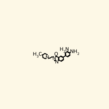 CC1CCN(CCn2cnc3ccc(-c4ccc(N)c(N)c4)cc3c2=O)CC1